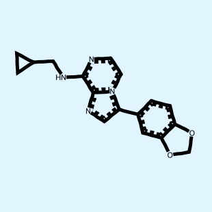 c1cn2c(-c3ccc4c(c3)OCO4)cnc2c(NCC2CC2)n1